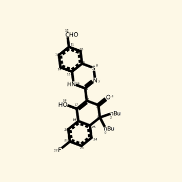 CCCCC1(CCCC)C(=O)C(C2=NSc3cc(C=O)ccc3N2)=C(O)c2cc(F)ccc21